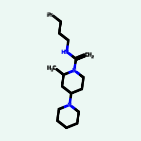 C=C(NCCCC(C)C)N1CCC(N2CCCCC2)CC1C